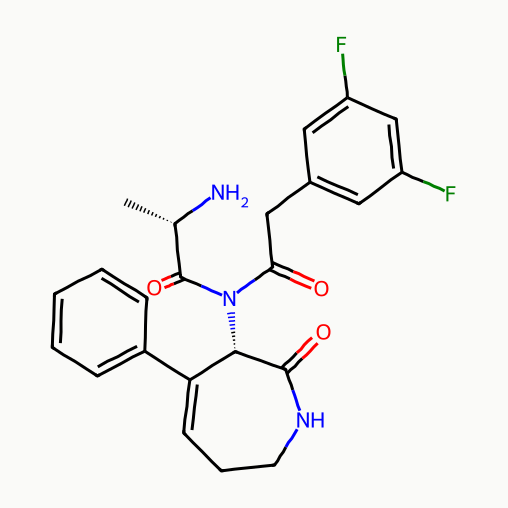 C[C@H](N)C(=O)N(C(=O)Cc1cc(F)cc(F)c1)[C@@H]1C(=O)NCCC=C1c1ccccc1